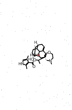 Cc1c[nH]c(C)c1C(=O)OC(C)C1=CC[C@@]23OCCN(C)C[C@@]12C[C@@H](O)[C@]12O[C@@]4(O)CC[C@@]1(C)[C@H](CC=C32)C4